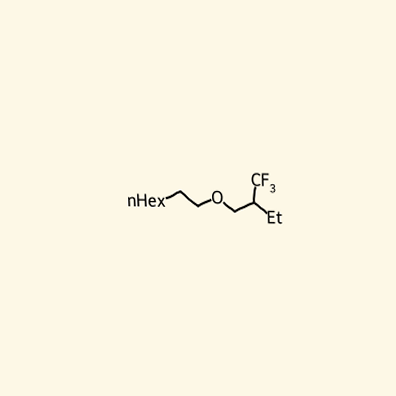 [CH2]CCCCCCCOCC(CC)C(F)(F)F